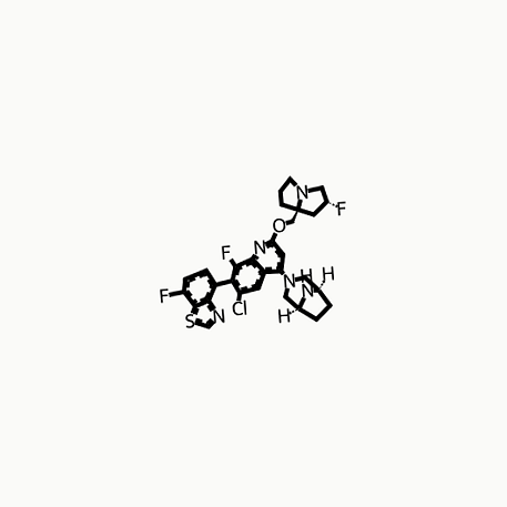 Fc1c(-c2ccc(F)c3scnc23)c(Cl)cc2c(N3C[C@H]4CC[C@@H](C3)N4)cc(OC[C@@]34CCCN3C[C@H](F)C4)nc12